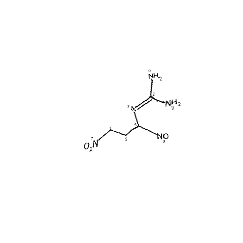 NC(N)=NC(CC[N+](=O)[O-])N=O